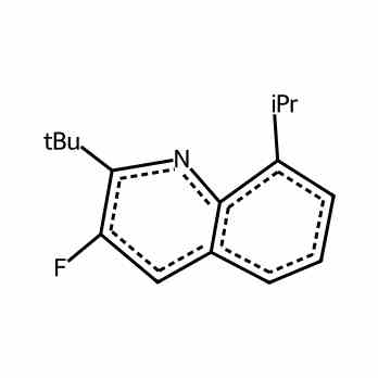 CC(C)c1cccc2cc(F)c(C(C)(C)C)nc12